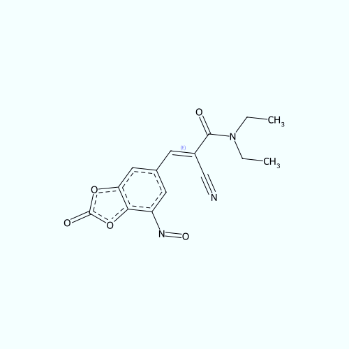 CCN(CC)C(=O)/C(C#N)=C/c1cc(N=O)c2oc(=O)oc2c1